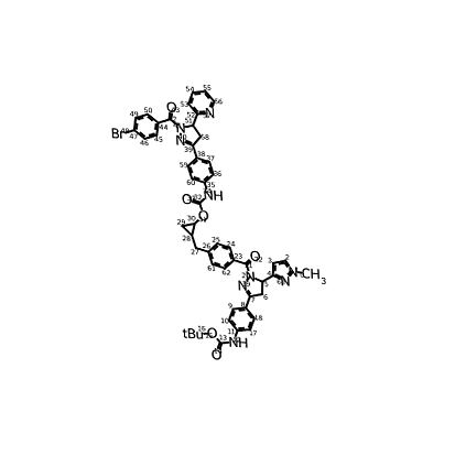 Cn1ccc(C2CC(c3ccc(NC(=O)OC(C)(C)C)cc3)=NN2C(=O)c2ccc(CC3CC3OC(=O)Nc3ccc(C4=NN(C(=O)c5ccc(Br)cc5)C(c5ccccn5)C4)cc3)cc2)n1